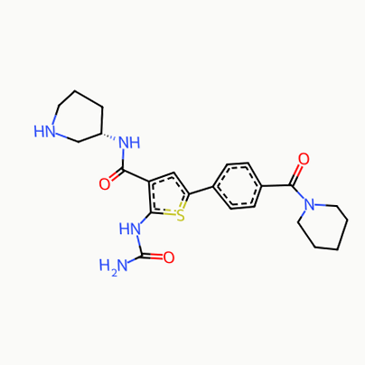 NC(=O)Nc1sc(-c2ccc(C(=O)N3CCCCC3)cc2)cc1C(=O)N[C@H]1CCCNC1